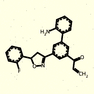 C=CC(=O)c1cc(C2=NOC(c3ccccc3F)C2)cc(-c2ccccc2N)c1